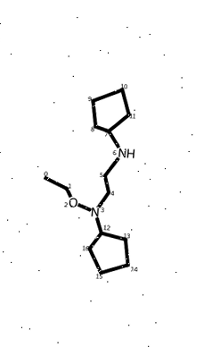 CCON(CCNC1CCCC1)C1CCCC1